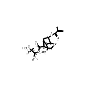 C=C(C)C(=O)OC1C2CC3C1OCC3(C=O)C2C(=O)OC(C(F)(F)F)C(F)(F)S(=O)(=O)O